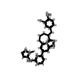 Cn1nccc1Nc1nccc(-c2cc3n4c(nnc4c2)C(Cc2ccc(O)c(F)c2)CCC3)n1